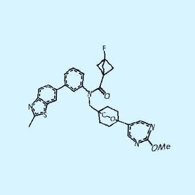 COc1ncc(C23CCC(CN(C(=O)C45CC(F)(C4)C5)c4cccc(-c5ccc6nc(C)sc6c5)c4)(CC2)CO3)cn1